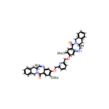 COc1cc2c(cc1OCc1cccc(COc3cc4c(cc3OC)C(=O)N3Cc5ccccc5C[C@H]3CN4)n1)N=C[C@@H]1Cc3ccccc3CN1C2=O